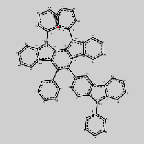 c1ccc(-c2c(-c3ccc4c(c3)c3ccccc3n4-c3ccccc3)c3c4ccccc4n(-c4ccccc4)c3c3c2c2ccccc2n3-c2ccccc2)cc1